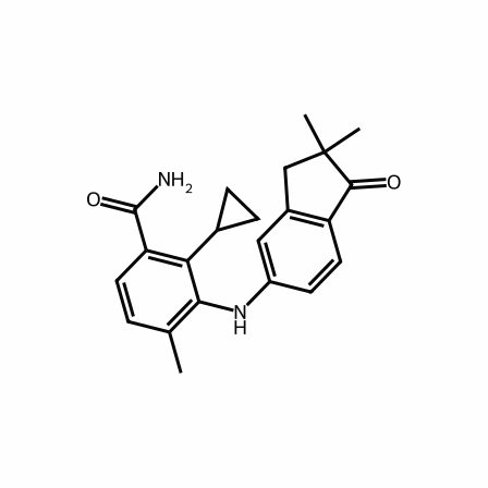 Cc1ccc(C(N)=O)c(C2CC2)c1Nc1ccc2c(c1)CC(C)(C)C2=O